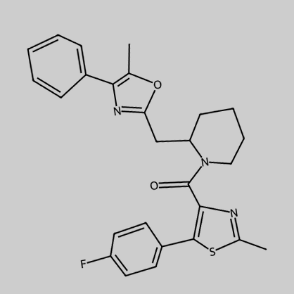 Cc1nc(C(=O)N2CCCCC2Cc2nc(-c3ccccc3)c(C)o2)c(-c2ccc(F)cc2)s1